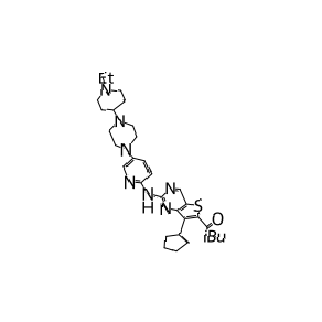 CCC(C)C(=O)c1sc2cnc(Nc3ccc(N4CCN(C5CCN(CC)CC5)CC4)cn3)nc2c1C1CCCC1